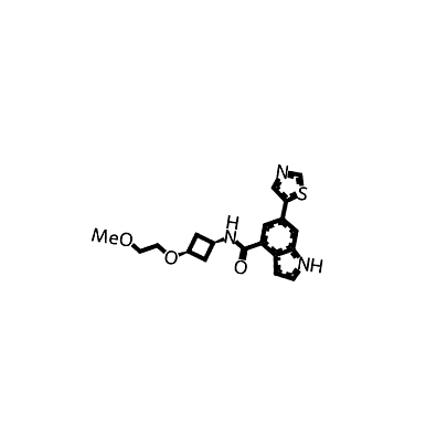 COCCO[C@H]1C[C@@H](NC(=O)c2cc(-c3cncs3)cc3[nH]ccc23)C1